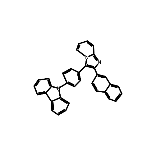 c1ccc2cc(-c3nc4ccccn4c3-c3ccc(-n4c5ccccc5c5ccccc54)cc3)ccc2c1